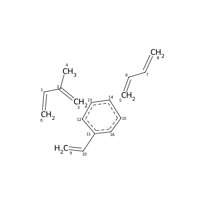 C=CC(=C)C.C=CC=C.C=Cc1ccccc1